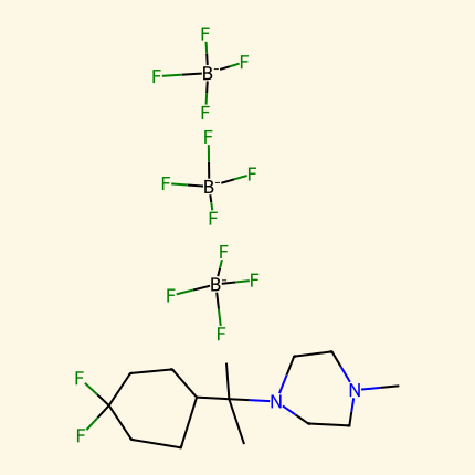 CN1CCN(C(C)(C)C2CCC(F)(F)CC2)CC1.F[B-](F)(F)F.F[B-](F)(F)F.F[B-](F)(F)F